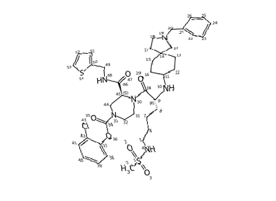 CS(=O)(=O)NCCCC[C@@H](NC1CCC2(CC1)CCN(Cc1ccccc1)C2)C(=O)N1CCN(C(=O)Oc2ccccc2Cl)C[C@H]1C(=O)NCc1cccs1